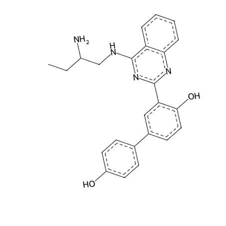 CCC(N)CNc1nc(-c2cc(-c3ccc(O)cc3)ccc2O)nc2ccccc12